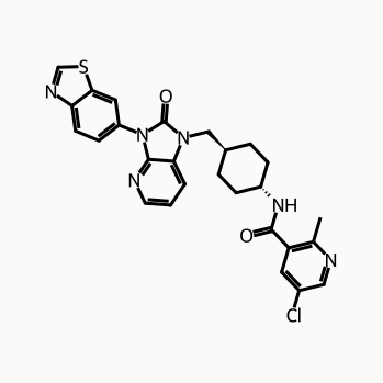 Cc1ncc(Cl)cc1C(=O)N[C@H]1CC[C@H](Cn2c(=O)n(-c3ccc4ncsc4c3)c3ncccc32)CC1